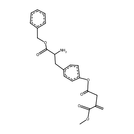 C=C(CC(=O)Oc1ccc(CC(N)C(=O)OCc2ccccc2)cc1)C(=O)OC